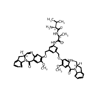 COc1cc2c(cc1OCc1cc(COc3cc4c(cc3OC)C(=O)N3c5ccccc5C[C@H]3CN4)cc(NC(=O)[C@H](C)NC(=O)[C@@H](N)C(C)C)c1)N=C[C@@H]1Cc3ccccc3N1C2=O